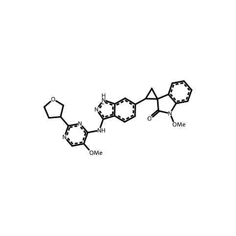 COc1cnc(C2CCOC2)nc1Nc1n[nH]c2cc(C3CC34C(=O)N(OC)c3ccccc34)ccc12